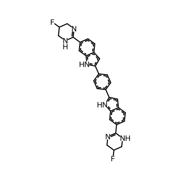 FC1CN=C(c2ccc3cc(-c4ccc(-c5cc6ccc(C7=NCC(F)CN7)cc6[nH]5)cc4)[nH]c3c2)NC1